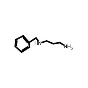 NCCCNCc1[c]cccc1